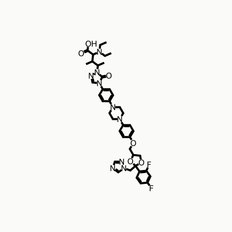 CCN(CC)C(C(=O)O)C(C)C(C)n1ncn(-c2ccc(N3CCN(c4ccc(OCC5COC(Cn6cncn6)(c6ccc(F)cc6F)O5)cc4)CC3)cc2)c1=O